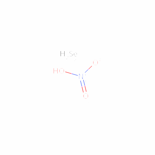 O=[N+]([O-])O.[SeH2]